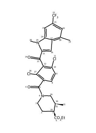 CCOC(=O)[C@H]1CCN(C(=O)c2ccc(Cl)c(C(=O)c3cc4c(C)cc(C(F)(F)F)cc4n3C)c2Cl)C[C@H]1C